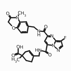 CN1C(=O)COc2ccc(CNC(=O)c3cc(C(=O)NCC4=CCC(C)(C(=O)O)CC4)n4ncc(F)c4n3)cc21